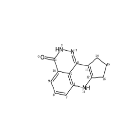 O=c1[nH]nc2c3c(cccc13)NC1=C2CCC1